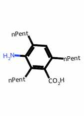 CCCCCc1cc(CCCCC)c(C(=O)O)c(CCCCC)c1N